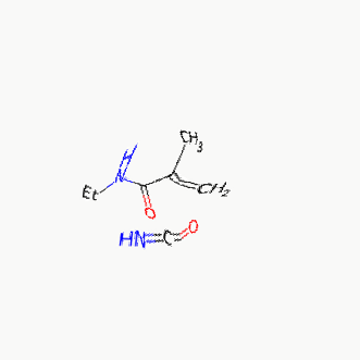 C=C(C)C(=O)NCC.N=C=O